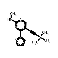 CNc1ncc(C#C[Si](C)(C)C)c(-c2cccs2)n1